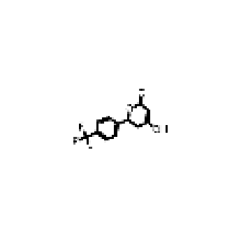 O=C1C=C(O)CC(c2ccc(C(F)(F)F)cc2)O1